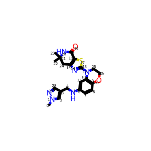 Cn1cc(CNc2ccc3c(c2)N(c2nc4c(s2)C(=O)NC(C)(C)C4)CCO3)cn1